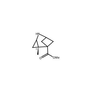 COC(=O)C12CC(C1)NC1C[C@]12C